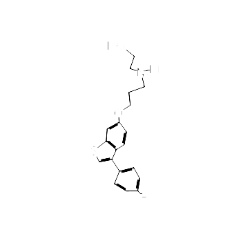 CCN(CCO)CCCOc1ccc2c(-c3ccc(F)cc3)csc2c1